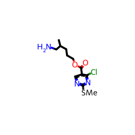 CSc1ncc(C(=O)OCCCC(C)CN)c(Cl)n1